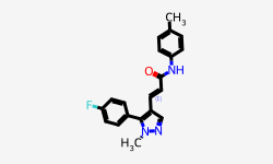 Cc1ccc(NC(=O)/C=C/c2cnn(C)c2-c2ccc(F)cc2)cc1